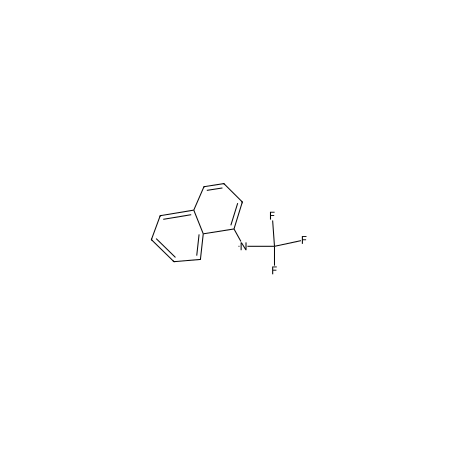 FC(F)(F)[N]c1cccc2ccccc12